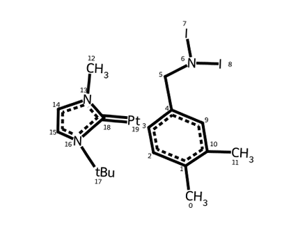 Cc1ccc(CN(I)I)cc1C.Cn1ccn(C(C)(C)C)[c]1=[Pt]